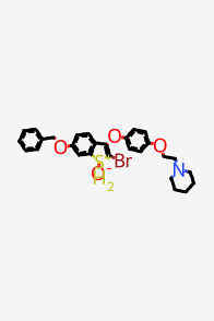 [O-][SH2+]1C(Br)=C(Oc2ccc(OCCN3CCCCC3)cc2)c2ccc(OCc3ccccc3)cc21